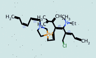 C=C/C=C\C=C/N1CC[PH]2(CC=C2/C(C(=C)C(=C)C)=C(\C(=C\C=C)CCl)N(C)CC)C1